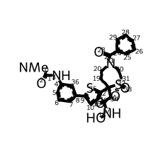 CNC(=O)Nc1cccc(-c2ccc(C3(CC(=O)NO)CCN(C(=O)c4ccccc4)CCS3(=O)=O)s2)c1